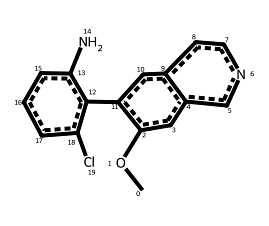 COc1cc2cnccc2cc1-c1c(N)cccc1Cl